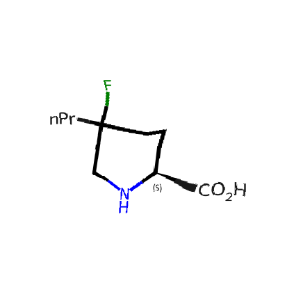 CCCC1(F)CN[C@H](C(=O)O)C1